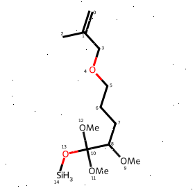 C=C(C)COCCCC(OC)C(OC)(OC)O[SiH3]